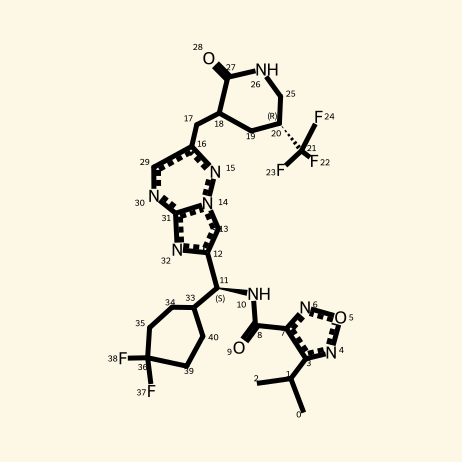 CC(C)c1nonc1C(=O)N[C@H](c1cn2nc(CC3C[C@@H](C(F)(F)F)CNC3=O)cnc2n1)C1CCC(F)(F)CC1